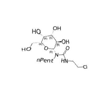 CCCCCN(C(=O)NCCCl)[C@@H]1O[C@H](CO)[C@H](O)[C@H](O)[C@H]1O